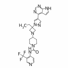 CCC1(n2cc(-c3ncnc4[nH]ccc34)cn2)CN(C2CCN(C(=O)Nc3ccncc3C(F)(F)F)CC2)C1